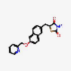 O=C1NC(=O)C(Cc2ccc3cc(OCc4ccccn4)ccc3c2)S1